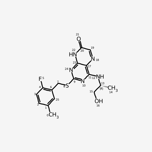 Cc1ccc(F)c(CSc2nc(N[C@H](C)CO)c3ncc(=O)[nH]c3n2)c1